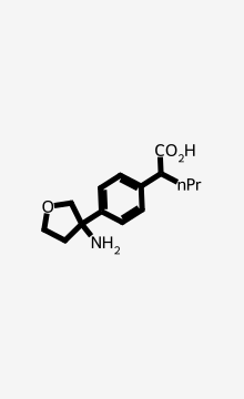 CCCC(C(=O)O)c1ccc(C2(N)CCOC2)cc1